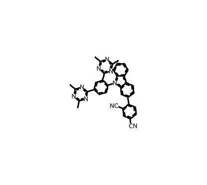 Cc1nc(C)nc(-c2ccc(-n3c4ccccc4c4ccc(-c5ccc(C#N)cc5C#N)cc43)c(-c3nc(C)nc(C)n3)c2)n1